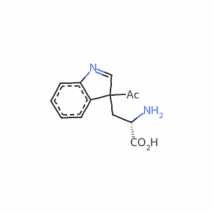 CC(=O)C1(C[C@H](N)C(=O)O)C=Nc2ccccc21